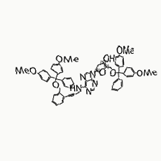 COc1ccc(C(OCc2ccccc2C#CCNc2ncnc3c2ncn3[C@H]2C[C@H](O)[C@@H](COC(c3ccccc3)(c3ccc(OC)cc3)c3ccc(OC)cc3)O2)(c2ccccc2)c2ccc(OC)cc2)cc1